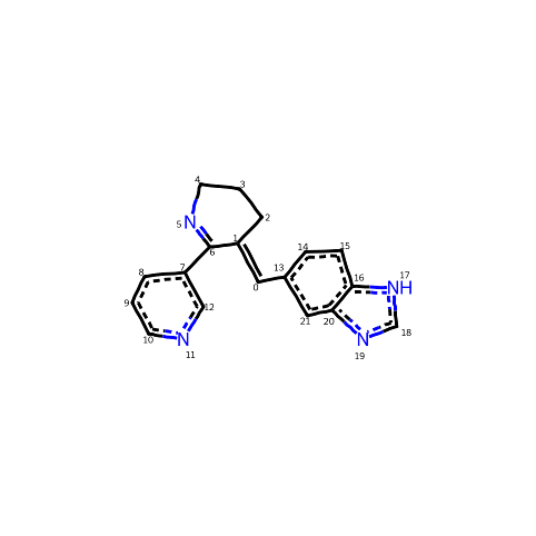 C(=C1CCCN=C1c1cccnc1)c1ccc2[nH]cnc2c1